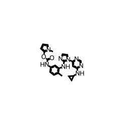 Cc1ccc(NC(=O)Oc2cccn2C)cc1Nc1nccn1-c1cc(NC2CC2)ncn1